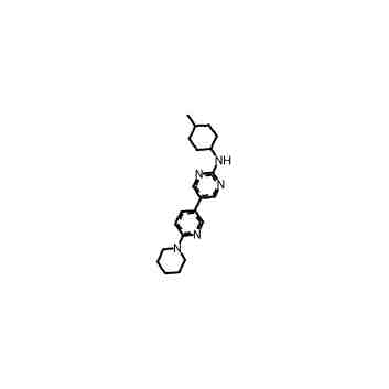 CC1CCC(Nc2ncc(-c3ccc(N4CCCCC4)nc3)cn2)CC1